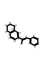 CC(=Cc1ccccc1)c1ccc2c(c1)CCCC2